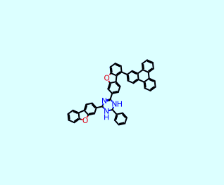 c1ccc(C2NC(c3ccc4c(c3)oc3cccc(-c5ccc6c7ccccc7c7ccccc7c6c5)c34)=NC(c3ccc4c(c3)oc3ccccc34)N2)cc1